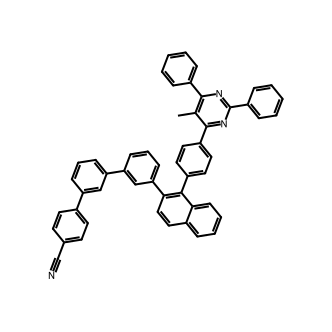 Cc1c(-c2ccccc2)nc(-c2ccccc2)nc1-c1ccc(-c2c(-c3cccc(-c4cccc(-c5ccc(C#N)cc5)c4)c3)ccc3ccccc23)cc1